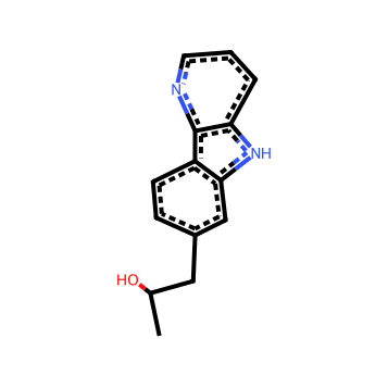 CC(O)Cc1ccc2c(c1)[nH]c1cccnc12